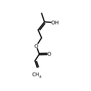 C.C=CC(=O)OCC=C(C)O